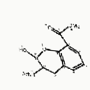 COC(=O)c1cccc2c1OB(O)C(NC(C)=O)C2